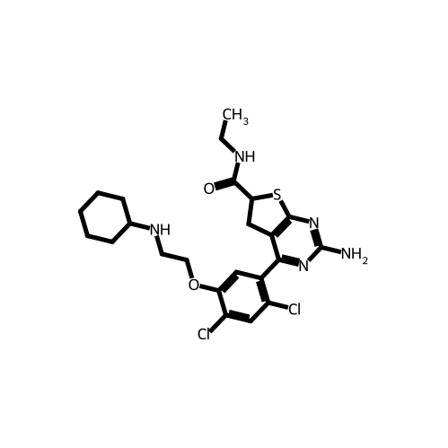 CCNC(=O)C1Cc2c(nc(N)nc2-c2cc(OCCNC3CCCCC3)c(Cl)cc2Cl)S1